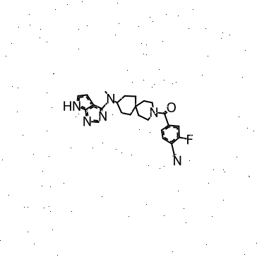 CN(c1ncnc2[nH]ccc12)C1CCC2(CC1)CCN(C(=O)c1ccc(C#N)c(F)c1)CC2